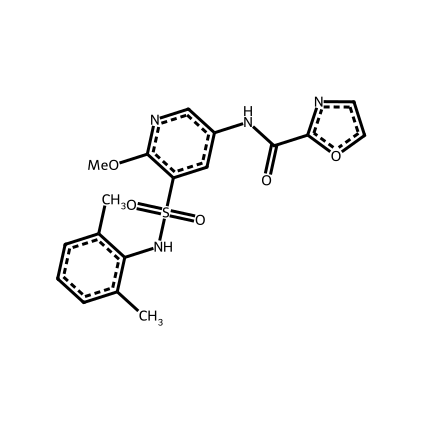 COc1ncc(NC(=O)c2ncco2)cc1S(=O)(=O)Nc1c(C)cccc1C